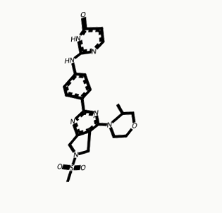 CC1COCCN1c1nc(-c2ccc(Nc3nccc(=O)[nH]3)cc2)nc2c1CN(S(C)(=O)=O)C2